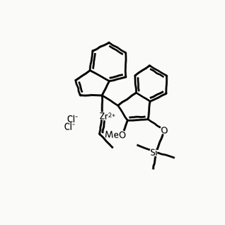 C[CH]=[Zr+2][C]1(C2C(OC)=C(O[Si](C)(C)C)c3ccccc32)C=Cc2ccccc21.[Cl-].[Cl-]